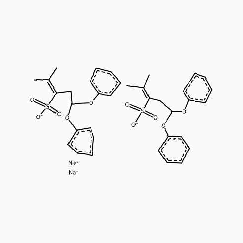 CC(C)=C(CC(Oc1ccccc1)Oc1ccccc1)S(=O)(=O)[O-].CC(C)=C(CC(Oc1ccccc1)Oc1ccccc1)S(=O)(=O)[O-].[Na+].[Na+]